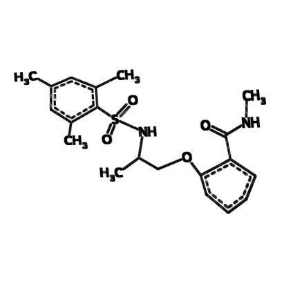 CNC(=O)c1ccccc1OCC(C)NS(=O)(=O)c1c(C)cc(C)cc1C